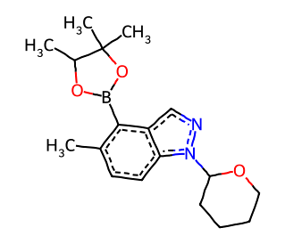 Cc1ccc2c(cnn2C2CCCCO2)c1B1OC(C)C(C)(C)O1